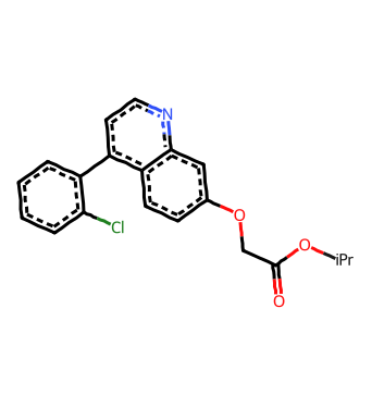 CC(C)OC(=O)COc1ccc2c(-c3ccccc3Cl)ccnc2c1